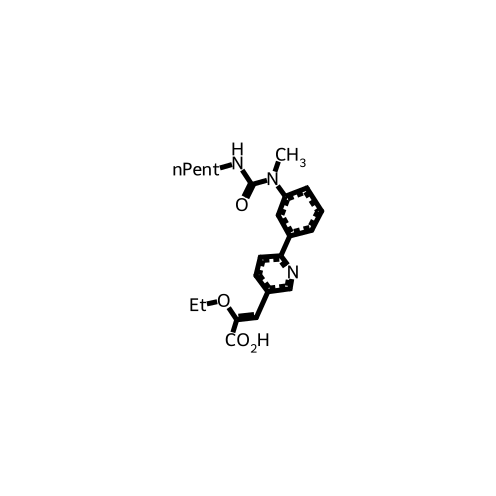 CCCCCNC(=O)N(C)c1cccc(-c2ccc(C=C(OCC)C(=O)O)cn2)c1